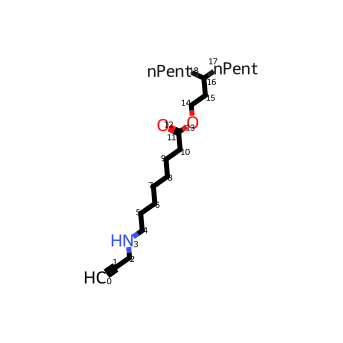 C#CCNCCCCCCCC(=O)OCCC(CCCCC)CCCCC